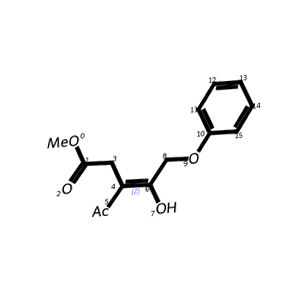 COC(=O)C/C(C(C)=O)=C(/O)COc1ccccc1